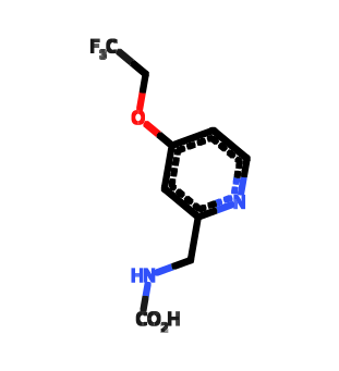 O=C(O)NCc1cc(OCC(F)(F)F)ccn1